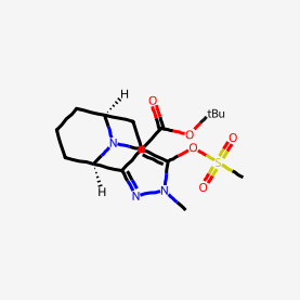 Cn1nc2c(c1OS(C)(=O)=O)C[C@@H]1CCC[C@H]2N1CC(=O)OC(C)(C)C